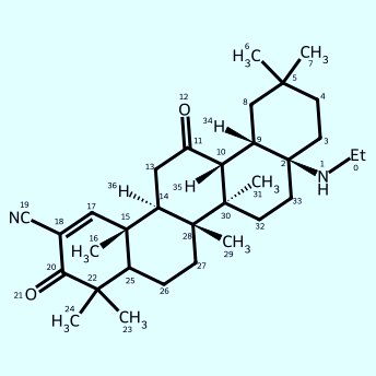 CCN[C@]12CCC(C)(C)C[C@H]1[C@H]1C(=O)C[C@@H]3[C@@]4(C)C=C(C#N)C(=O)C(C)(C)C4CC[C@@]3(C)[C@]1(C)CC2